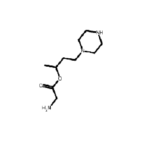 CC(CCN1CCNCC1)OC(=O)CN